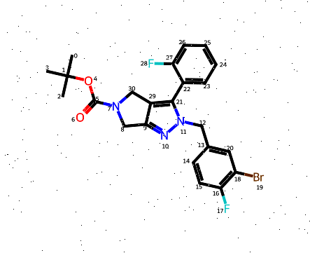 CC(C)(C)OC(=O)N1Cc2nn(Cc3ccc(F)c(Br)c3)c(-c3ccccc3F)c2C1